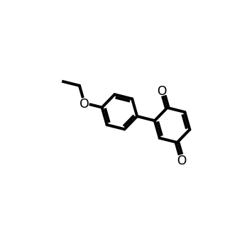 CCOc1ccc(C2=CC(=O)C=CC2=O)cc1